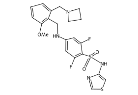 COc1cccc(CN2CCC2)c1CNc1cc(F)c(S(=O)(=O)Nc2cscn2)c(F)c1